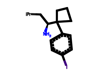 CC(C)C[C@H](N)C1(c2ccc(I)cc2)CCC1